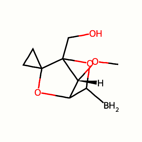 BC1OC2(CO)[C@H](OC)C1OC21CC1